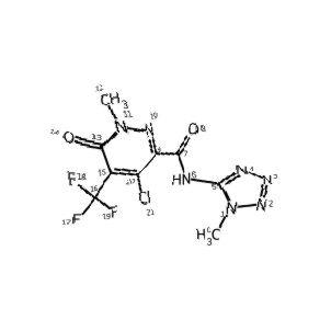 Cn1nnnc1NC(=O)c1nn(C)c(=O)c(C(F)(F)F)c1Cl